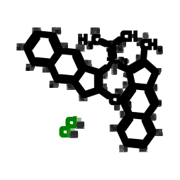 CC1=[C]([Zr+2]([C]2=C(C)Cc3cc4ccccc4cc32)=[Si](C)C)c2cc3ccccc3cc2C1.[Cl-].[Cl-]